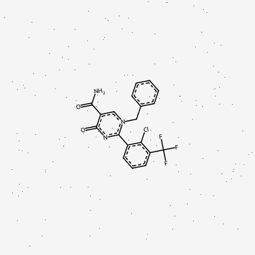 NC(=O)c1cn(Cc2ccccc2)c(-c2cccc(C(F)(F)F)c2Cl)nc1=O